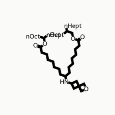 CCCCCCCCC(CCCCCCCC)OC(=O)CCCCCCCC(CCCCCCCC(=O)OCC(CCCCCCC)CCCCCCC)NC1CC2(COC2)C1